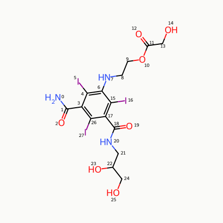 NC(=O)c1c(I)c(NCCOC(=O)CO)c(I)c(C(=O)NCC(O)CO)c1I